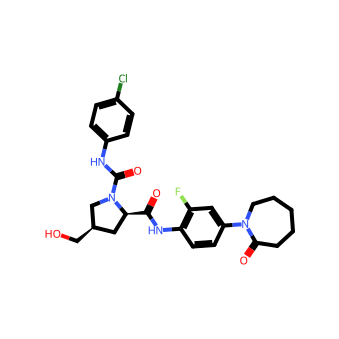 O=C(Nc1ccc(N2CCCCCC2=O)cc1F)[C@H]1C[C@@H](CO)CN1C(=O)Nc1ccc(Cl)cc1